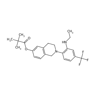 CCNc1cc(C(F)(F)F)ccc1N1CCc2cc(OC(=O)C(C)(C)C)ccc2C1